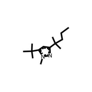 CCCC(C)(C)c1cc(C(C)(C)C)n(C)n1